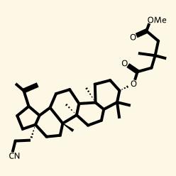 C=C(C)C1CC[C@]2(CCC#N)CC[C@]3(C)C(CCC4[C@@]5(C)CC[C@H](OC(=O)CC(C)(C)CC(=O)OC)C(C)(C)C5CC[C@]43C)C12